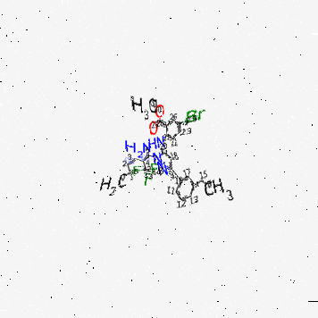 C=C/C=C\C(=C(/N)n1nc(-c2cccc(CC)c2)cc1Nc1ccc(Br)cc1C(=O)OC)C(F)(F)F